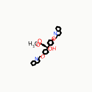 COC(=O)C#CC(O)(c1ccc(OCc2ccc3ccccc3n2)cc1)c1ccc(OCc2ccc3ccccc3n2)cc1